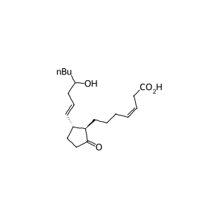 CCCCC(O)C/C=C/[C@H]1CCC(=O)[C@@H]1CCC/C=C\CC(=O)O